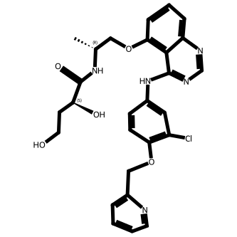 C[C@H](COc1cccc2ncnc(Nc3ccc(OCc4ccccn4)c(Cl)c3)c12)NC(=O)[C@@H](O)CCO